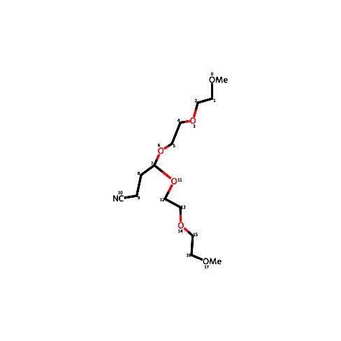 COCCOCCOC(CCC#N)OCCOCCOC